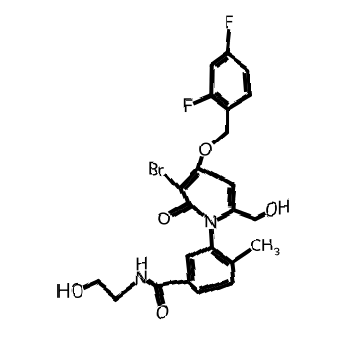 Cc1ccc(C(=O)NCCO)cc1-n1c(CO)cc(OCc2ccc(F)cc2F)c(Br)c1=O